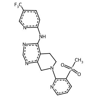 CS(=O)(=O)c1cccnc1N1CCc2c(ncnc2Nc2ccc(C(F)(F)F)cn2)C1